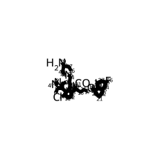 Cc1nn(C)c(C)c1-c1c(Cl)ccc2c(CCCOc3cccc4cc(F)ccc34)c(C(=O)O)n(CCN3CCC(N)CC3)c12